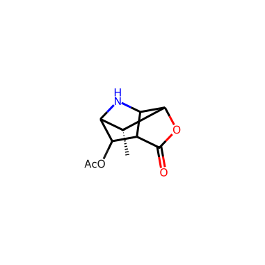 CC(=O)OC1C2C(=O)OC3C2NC1[C@H]3C